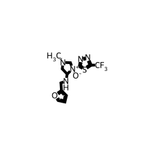 CN1CC(NCc2ccco2)[N+]([O-])(c2nnc(C(F)(F)F)s2)C1